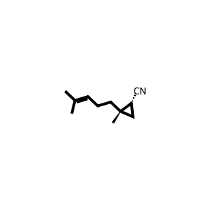 CC(C)=CCC[C@@]1(C)C[C@H]1C#N